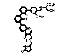 COc1nc(-c2cccc(-c3cccc(-c4ccn5c(=O)c(CNCC6CCC(=O)N6)cnc5c4)c3Cl)c2Cl)ccc1CN[C@H](CO)C(=O)O